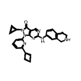 O=c1c2cnc(Nc3ccc4c(c3)CNCC4)nc2n(-c2cccc(C3CCC3)n2)n1C1CC1